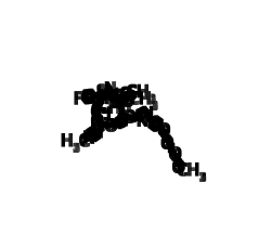 COCCOCCOCCOc1ccc(-c2nccc(COc3ccc4cc3C[C@H](C(=O)OC(C)(C)C)Oc3ncnc5sc(-c6ccc(F)cc6)c(c35)-c3ccc(c(Cl)c3C)O[C@H](CN3CCN(C)CC3)CO4)n2)cc1